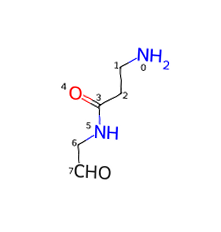 NCCC(=O)NCC=O